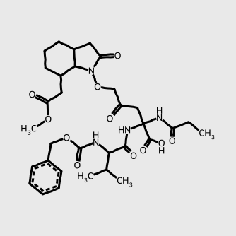 CCC(=O)NC(CC(=O)CON1C(=O)CC2CCCC(CC(=O)OC)C21)(NC(=O)C(NC(=O)OCc1ccccc1)C(C)C)C(=O)O